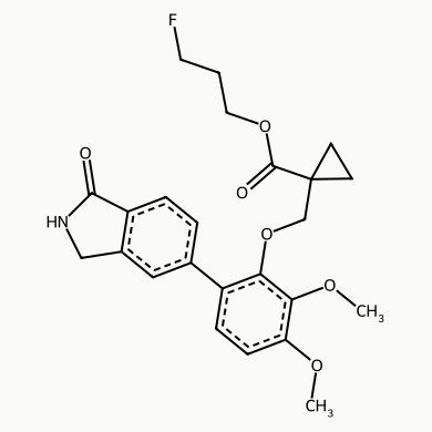 COc1ccc(-c2ccc3c(c2)CNC3=O)c(OCC2(C(=O)OCCCF)CC2)c1OC